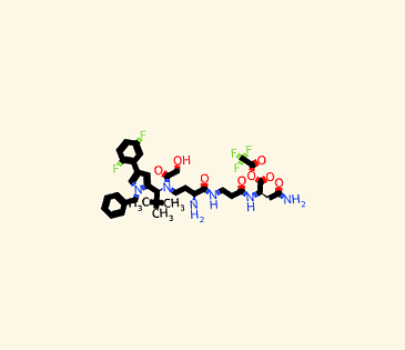 CC(C)(C)[C@H](c1cc(-c2cc(F)ccc2F)cn1Cc1ccccc1)N(CC[C@H](N)C(=O)NCCC(=O)N[C@@H](CC(N)=O)C(=O)OC(=O)C(F)(F)F)C(=O)CO